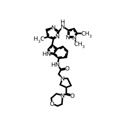 Cc1cnc(Nc2cc(C)n(C)n2)nc1-c1c[nH]c2c(NC(=O)CN3CCC(C(=O)N4CCOCC4)C3)cccc12